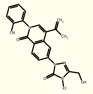 C=C(C)c1cn(-c2ccccc2C#N)c(=O)c2ccc(-n3nc(CO)n(CC)c3=O)cc12